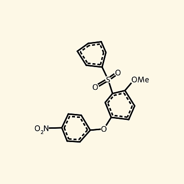 COc1ccc(Oc2ccc([N+](=O)[O-])cc2)cc1S(=O)(=O)c1ccccc1